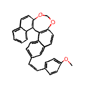 COc1ccc(/C=C\c2ccc3c4c(ccc3c2)OCOc2ccc3ccccc3c2-4)cc1